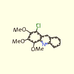 COc1c(OC)c(OC)c2nc3ccccc3cc2c1Cl